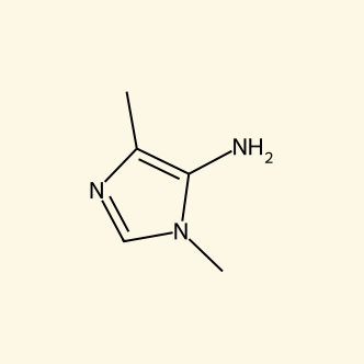 Cc1ncn(C)c1N